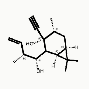 C#C[C@]1(O)C([C@H](O)[C@H](C)C=C)[C@H]2[C@@H](C[C@H]1C)C2(C)C